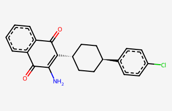 NC1=C([C@H]2CC[C@H](c3ccc(Cl)cc3)CC2)C(=O)c2ccccc2C1=O